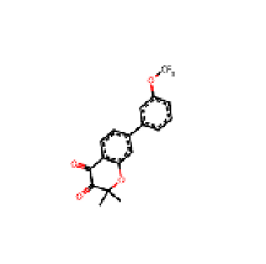 CC1(C)Oc2cc(-c3cccc(OC(F)(F)F)c3)ccc2C(=O)C1=O